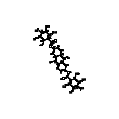 Cc1c2ccc(OC(=O)c3c(F)c(F)c(F)c(F)c3F)cc2c(C)c2ccc(OC(=O)c3c(F)c(F)c(F)c(F)c3F)cc12